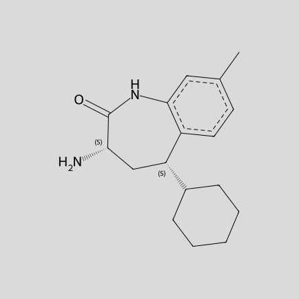 Cc1ccc2c(c1)NC(=O)[C@@H](N)C[C@H]2C1CCCCC1